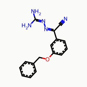 N#C/C(=N\N=C(N)N)c1cccc(OCc2ccccc2)c1